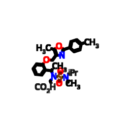 Cc1ccc(-c2nc(COc3ccccc3C(C)N(CC(=O)O)S(=O)(=O)N(C)C(C)C)c(C)o2)cc1